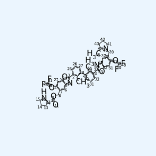 Cc1c(-c2nc3cc(COC(=O)[C@@H]4CCCN4)c(OC(F)F)cc3o2)cccc1-c1cccc(-c2nc3cc(CN4CCCC4C)c(OC(F)F)cc3o2)c1C